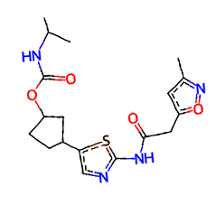 Cc1cc(CC(=O)Nc2ncc(C3CCC(OC(=O)NC(C)C)C3)s2)on1